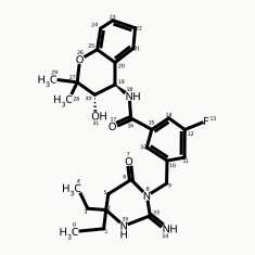 CCC1(CC)CC(=O)N(Cc2cc(F)cc(C(=O)N[C@@H]3c4ccccc4OC(C)(C)[C@H]3O)c2)C(=N)N1